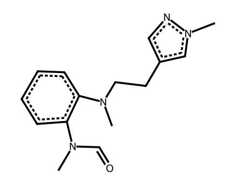 CN(C=O)c1ccccc1N(C)CCc1cnn(C)c1